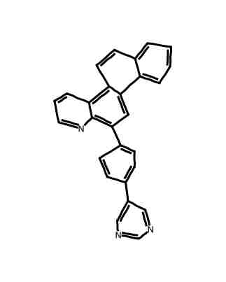 c1ccc2c(c1)ccc1c3cccnc3c(-c3ccc(-c4cncnc4)cc3)cc21